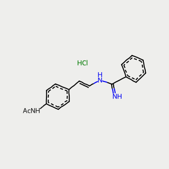 CC(=O)Nc1ccc(C=CNC(=N)c2ccccc2)cc1.Cl